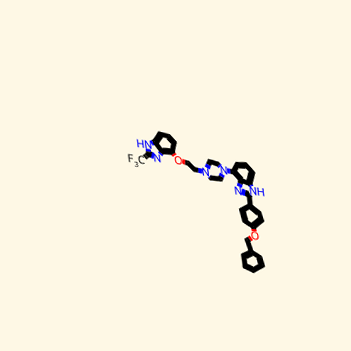 FC(F)(F)c1nc2c(OCCN3CCN(c4cccc5[nH]c(-c6ccc(OCc7ccccc7)cc6)nc45)CC3)cccc2[nH]1